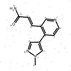 Cn1cc(-c2ccncc2/C=C/C(N)=O)cn1